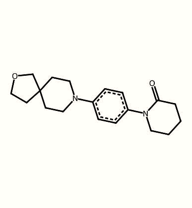 O=C1CCCCN1c1ccc(N2CCC3(CCOC3)CC2)cc1